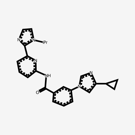 CC(C)n1ccnc1-c1cccc(NC(=O)c2cccc(-n3cnc(C4CC4)c3)c2)n1